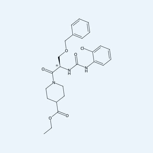 CCOC(=O)C1CCN(C(=O)[C@@H](COCc2ccccc2)NC(=O)Nc2ccccc2Cl)CC1